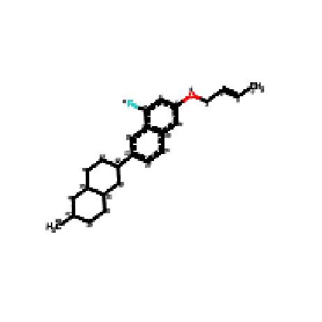 CC=CCOc1cc(F)c2cc(C3CCC4CC(C)CCC4C3)ccc2c1